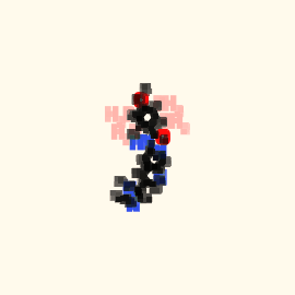 Bc1c(B)c(C(=O)Nc2cc3cc(-c4cnc(C)n4C)cnc3cn2)c(B)c(B)c1OC